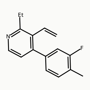 C=Cc1c(-c2ccc(C)c(F)c2)ccnc1CC